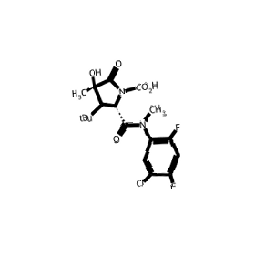 CN(C(=O)[C@@H]1C(C(C)(C)C)[C@](C)(O)C(=O)N1C(=O)O)c1cc(Cl)c(F)cc1F